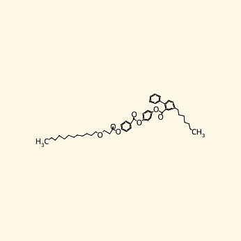 CCCCCCCCCCCCOCCC(=O)Oc1ccc(C(=O)Oc2ccc(OC(=O)c3cc(CCCCCCC)ccc3-c3ccccc3)cc2)cc1